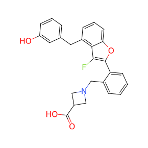 O=C(O)C1CN(Cc2ccccc2-c2oc3cccc(Cc4cccc(O)c4)c3c2F)C1